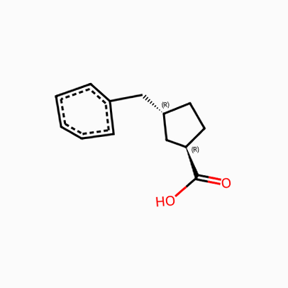 O=C(O)[C@@H]1CC[C@@H](Cc2ccccc2)C1